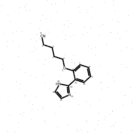 N#CCCCCOc1ccccc1-c1ncc[nH]1